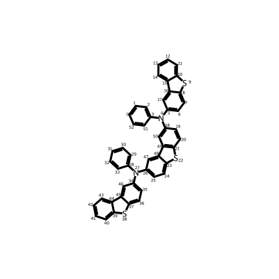 c1ccc(N(c2ccc3sc4ccccc4c3c2)c2ccc3sc4ccc(N(c5ccccc5)c5ccc6sc7ccccc7c6c5)cc4c3c2)cc1